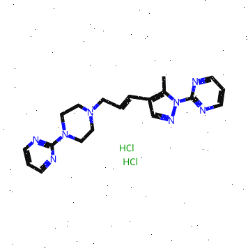 Cc1c(C=CCN2CCN(c3ncccn3)CC2)cnn1-c1ncccn1.Cl.Cl